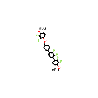 CCCCOc1ccc(OCC2CC=C(c3ccc(-c4ccc(OCCCC)c(F)c4F)c(F)c3F)CC2)c(F)c1F